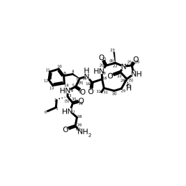 CCC[C@H](NC(=O)[C@@H](Cc1ccccc1)NC(=O)C1NC(=O)[C@@H](C)N2C(=O)N[C@@H](CCC1C)C2=O)C(=O)NCC(N)=O